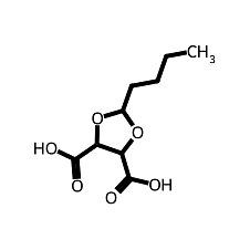 CCCCC1OC(C(=O)O)C(C(=O)O)O1